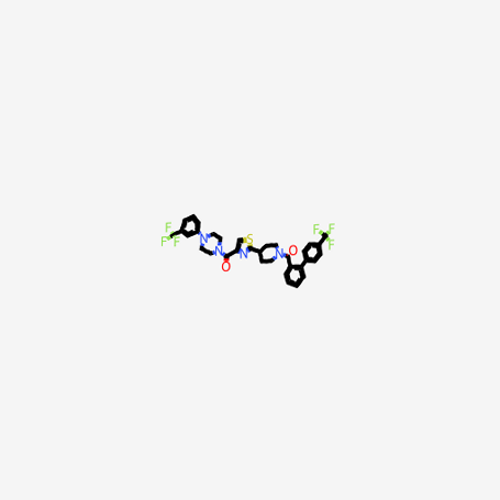 O=C(c1csc(C2CCN(C(=O)c3ccccc3-c3ccc(C(F)(F)F)cc3)CC2)n1)N1CCN(c2cccc(C(F)(F)F)c2)CC1